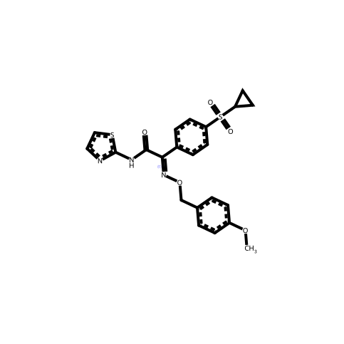 COc1ccc(CO/N=C(/C(=O)Nc2nccs2)c2ccc(S(=O)(=O)C3CC3)cc2)cc1